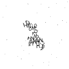 CC(C)NC(=N)c1nc(-c2ccc3c(c2F)CN(C2CCC(=O)NC2=O)C3=O)cc(CN2CCC(F)CC2)c1N